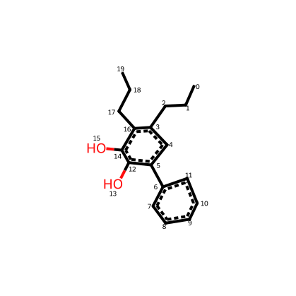 CCCc1cc(-c2ccccc2)c(O)c(O)c1CCC